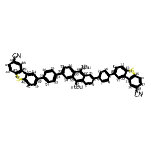 CC(C)(C)c1c2ccc(-c3ccc(-c4ccc5sc6ccc(C#N)cc6c5c4)cc3)cc2c(C(C)(C)C)c2ccc(-c3ccc(-c4ccc5sc6ccc(C#N)cc6c5c4)cc3)cc12